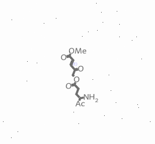 COC(=O)/C=C/C(=O)COC(=O)CCC(N)C(C)=O